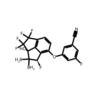 BC1(B)[C@H](F)c2c(Oc3cc(F)cc(C#N)c3)ccc3c2[C@@]1(O)C(F)(F)C3(F)F